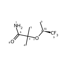 C[C@H](OC(C)(C)C(N)=O)C(F)(F)F